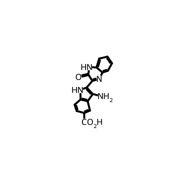 Nc1c(-c2nc3ccccc3[nH]c2=O)[nH]c2ccc(C(=O)O)cc12